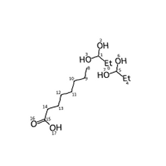 CCC(O)O.CCC(O)O.CCCCCCCC(=O)O